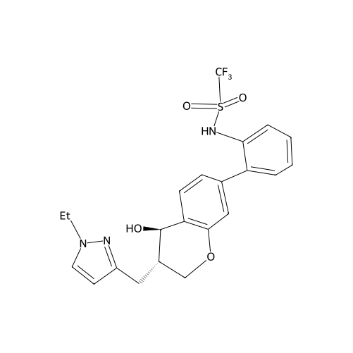 CCn1ccc(C[C@H]2COc3cc(-c4ccccc4NS(=O)(=O)C(F)(F)F)ccc3[C@@H]2O)n1